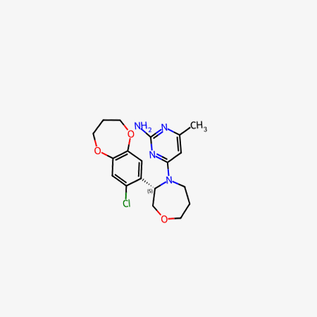 Cc1cc(N2CCCOC[C@@H]2c2cc3c(cc2Cl)OCCCO3)nc(N)n1